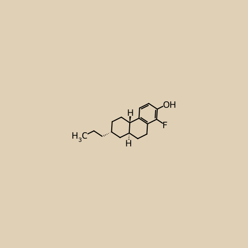 CCC[C@@H]1CC[C@@H]2c3ccc(O)c(F)c3CC[C@H]2C1